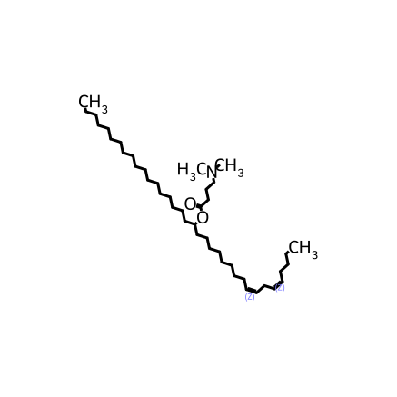 CCCC/C=C\C/C=C\CCCCCCCCC(CCCCCCCCCCCCCCCCCC)OC(=O)CCCN(C)C